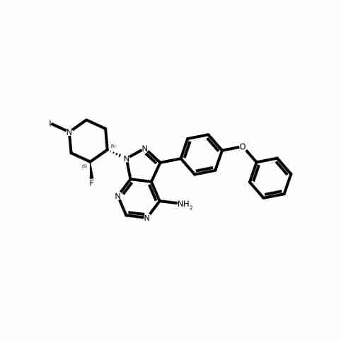 Nc1ncnc2c1c(-c1ccc(Oc3ccccc3)cc1)nn2[C@H]1CCN(I)C[C@@H]1F